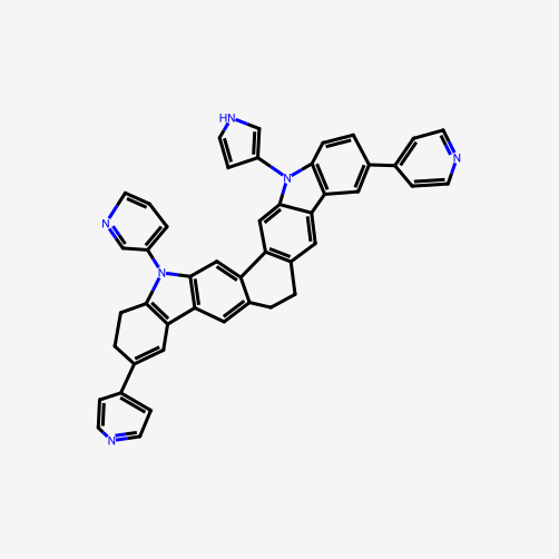 C1=C(c2ccncc2)CCc2c1c1cc3c(cc1n2-c1cccnc1)-c1cc2c(cc1CC3)c1cc(-c3ccncc3)ccc1n2-c1cc[nH]c1